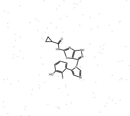 O=C(Nc1nc2[nH]nc(-n3cncc3-c3cccc(O)c3F)c2s1)C1CC1